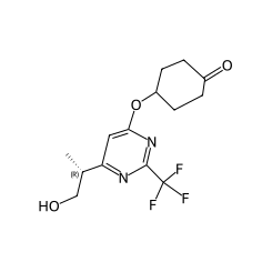 C[C@@H](CO)c1cc(OC2CCC(=O)CC2)nc(C(F)(F)F)n1